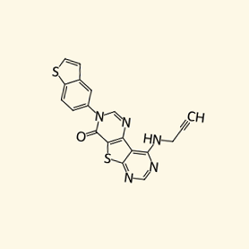 C#CCNc1ncnc2sc3c(=O)n(-c4ccc5sccc5c4)cnc3c12